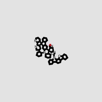 c1ccc(N2c3ccccc3C3(c4cc5c(cc42)C2(c4ccccc4-5)c4cccnc4-c4ncccc42)c2cccnc2-c2ncc(-n4c5ccccc5c5ccc6c7ccccc7oc6c54)cc23)cc1